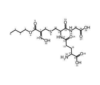 CCCCOC(=O)C(CSCC(NC(=O)CCC(N)C(=O)O)C(=O)NCC(=O)O)=NO